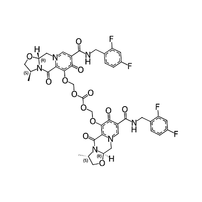 C[C@H]1CO[C@@H]2Cn3cc(C(=O)NCc4ccc(F)cc4F)c(=O)c(OCOC(=O)OCOc4c5n(cc(C(=O)NCc6ccc(F)cc6F)c4=O)C[C@H]4OC[C@H](C)N4C5=O)c3C(=O)N12